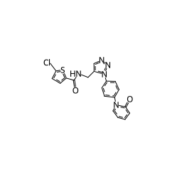 O=C(NCc1cnnn1-c1ccc(-n2ccccc2=O)cc1)c1ccc(Cl)s1